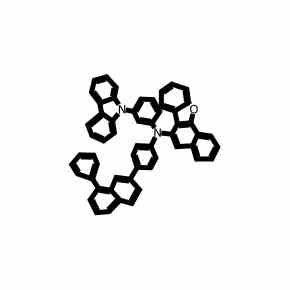 c1ccc(-c2cccc3ccc(-c4ccc(N(c5cccc(-n6c7ccccc7c7ccccc76)c5)c5cc6ccccc6c6oc7ccccc7c56)cc4)cc23)cc1